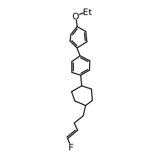 CCOc1ccc(-c2ccc(C3CCC(CCC=CF)CC3)cc2)cc1